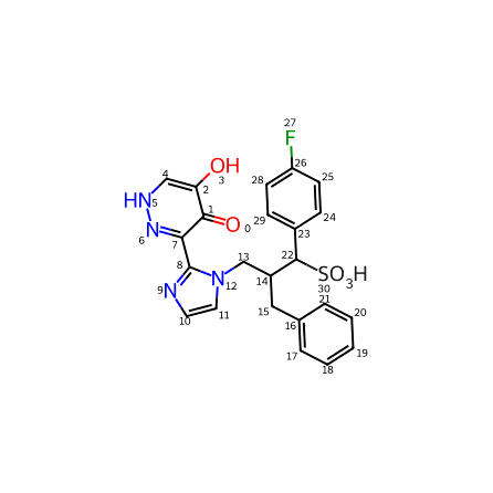 O=c1c(O)c[nH]nc1-c1nccn1CC(Cc1ccccc1)C(c1ccc(F)cc1)S(=O)(=O)O